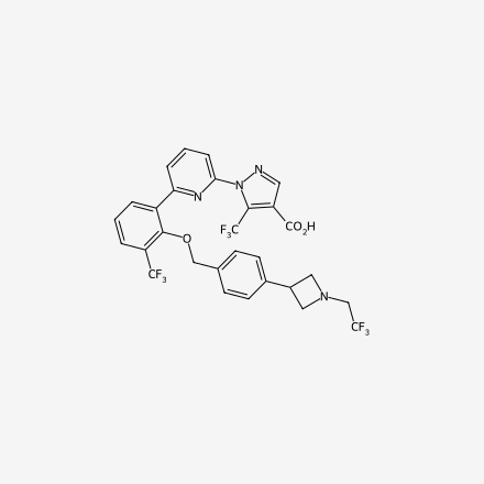 O=C(O)c1cnn(-c2cccc(-c3cccc(C(F)(F)F)c3OCc3ccc(C4CN(CC(F)(F)F)C4)cc3)n2)c1C(F)(F)F